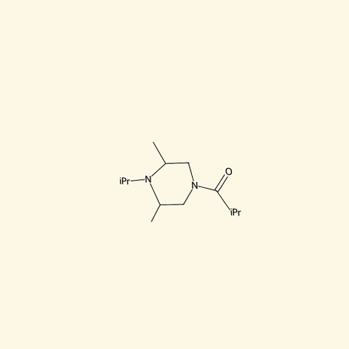 CC(C)C(=O)N1CC(C)N(C(C)C)C(C)C1